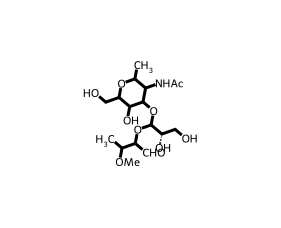 COC(C)C(C=O)OC(OC1C(O)C(CO)OC(C)C1NC(C)=O)[C@@H](O)CO